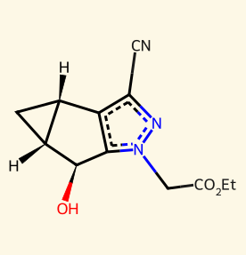 CCOC(=O)Cn1nc(C#N)c2c1[C@@H](O)[C@@H]1C[C@H]21